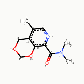 Cc1cnc(C(=O)N(C)C)c2c1COCO2